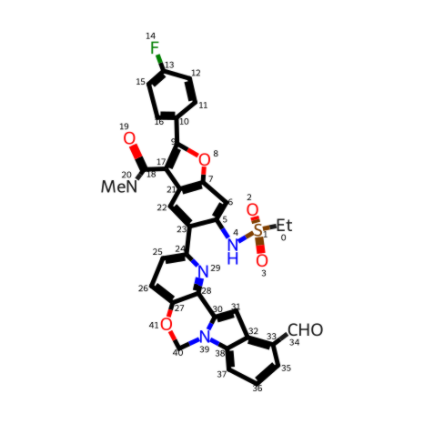 CCS(=O)(=O)Nc1cc2oc(-c3ccc(F)cc3)c(C(=O)NC)c2cc1-c1ccc2c(n1)-c1cc3c(C=O)cccc3n1CO2